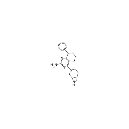 Nc1nc2c(c(N3CCC4CNC4C3)n1)CCCC2c1ccccc1